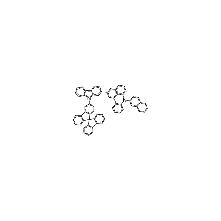 c1ccc(N(c2ccc3ccccc3c2)c2ccccc2-c2cccc(-c3ccc4c5ccccc5n(-c5ccc6c(c5)-c5ccccc5C65c6ccccc6-c6ccccc65)c4c3)c2)cc1